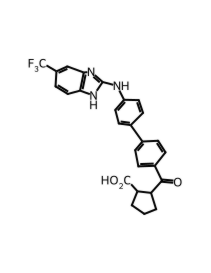 O=C(O)C1CCCC1C(=O)c1ccc(-c2ccc(Nc3nc4cc(C(F)(F)F)ccc4[nH]3)cc2)cc1